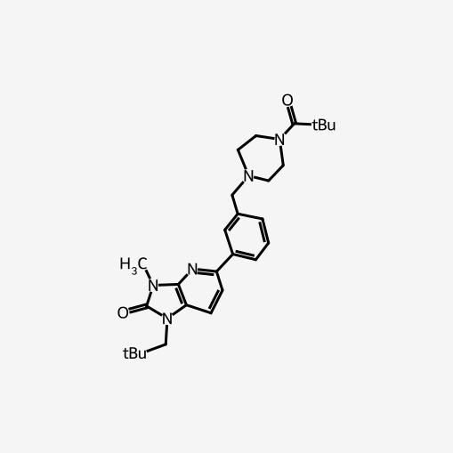 Cn1c(=O)n(CC(C)(C)C)c2ccc(-c3cccc(CN4CCN(C(=O)C(C)(C)C)CC4)c3)nc21